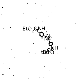 CCOC(=O)C(N)Cc1ccc(-c2noc(-c3ccc(NC(=O)OC(C)(C)C)cc3)n2)c(F)c1